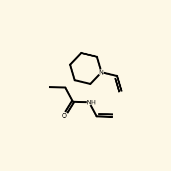 C=CN1CCCCC1.C=CNC(=O)CC